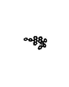 c1ccc(-c2ccc(-c3c4ccccc4c(-c4cc5nc(-c6ccccc6-c6ccccc6)n(-c6ccccc6)c5c5ccccc45)c4ccccc34)cc2)cc1